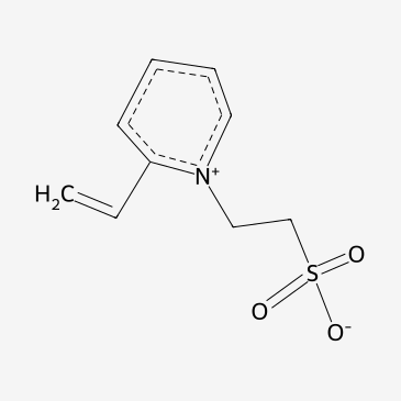 C=Cc1cccc[n+]1CCS(=O)(=O)[O-]